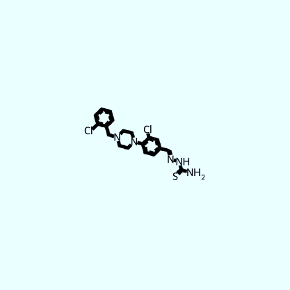 NC(=S)N/N=C/c1ccc(N2CCN(Cc3ccccc3Cl)CC2)c(Cl)c1